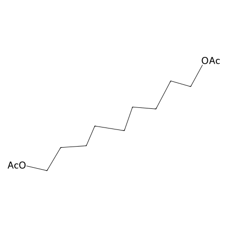 CC(=O)OCCCCCCCCCOC(C)=O